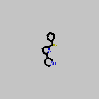 S=C(c1ccccc1)c1cccc(C2CCCNC2)n1